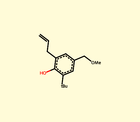 C=CCc1cc(COC)cc(C(C)(C)C)c1O